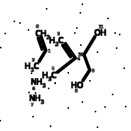 C=CC.C=CC.N.N.OCCO